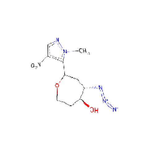 Cn1ncc([N+](=O)[O-])c1C1C[C@H](N=[N+]=[N-])[C@@H](O)CCO1